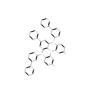 Cc1ccc2c(c1)N1c3cc(C)ccc3B(c3cccc(-c4ccccc4)c3)c3cc(-c4ccccc4)cc(c31)B2c1cccc(-c2ccccc2)c1